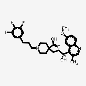 COc1ccc2ncc(C)c([C@H](O)CCC3(C(=O)O)CCN(CCCc4cc(F)c(F)c(F)c4)CC3)c2c1